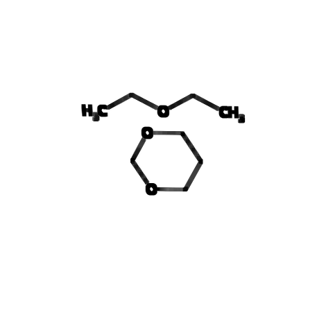 C1COCOC1.CCOCC